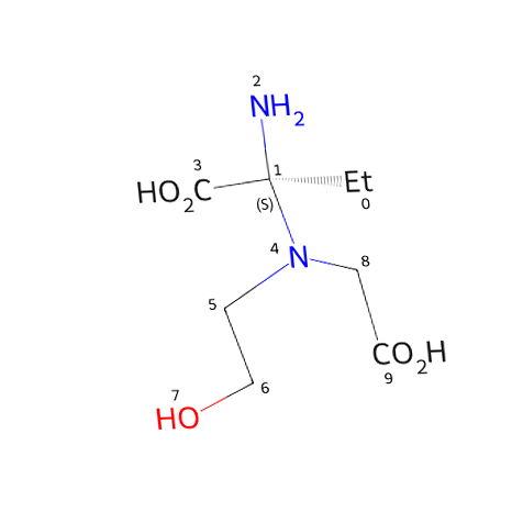 CC[C@@](N)(C(=O)O)N(CCO)CC(=O)O